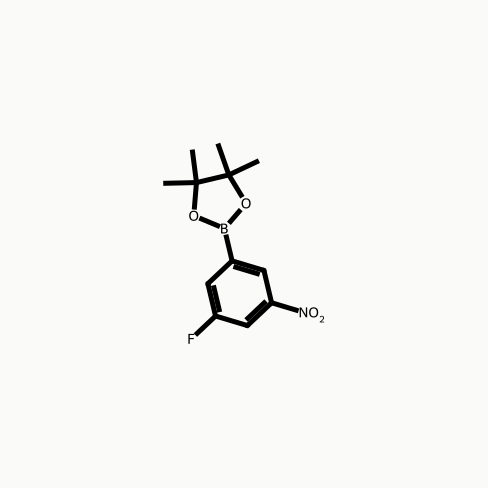 CC1(C)OB(c2cc(F)cc([N+](=O)[O-])c2)OC1(C)C